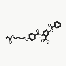 C=CC(=O)OCCCCOc1ccc(C(=O)Oc2ccc(OC(=O)c3ccccc3)cc2C(=O)OC)cc1